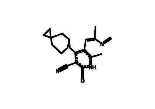 C=N/C(C)=C\c1c(C)[nH]c(=O)c(C#N)c1N1CCC2(CC1)CC2